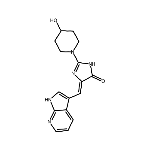 O=C1NC(N2CCC(O)CC2)=NC1=Cc1c[nH]c2ncccc12